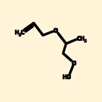 C=CCOC(C)COO